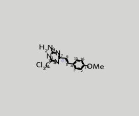 COc1ccc(/C=C/c2nc(N)nc(C(Cl)(Cl)Cl)n2)cc1